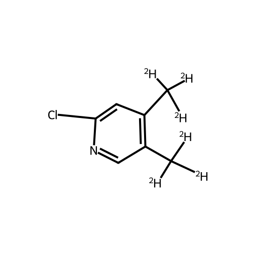 [2H]C([2H])([2H])c1cnc(Cl)cc1C([2H])([2H])[2H]